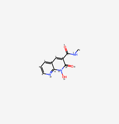 CNC(=O)c1cc2cccnc2n(O)c1=O